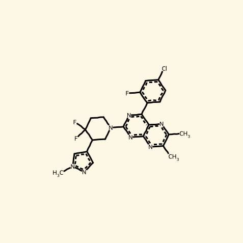 Cc1nc2nc(N3CCC(F)(F)C(c4cnn(C)c4)C3)nc(-c3ccc(Cl)cc3F)c2nc1C